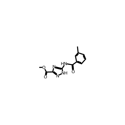 COC(=O)c1n[nH]c(NC(=O)c2cccc(C)c2)n1